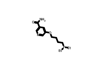 CCP(CC)CCCCOc1cncc(C(N)=O)c1